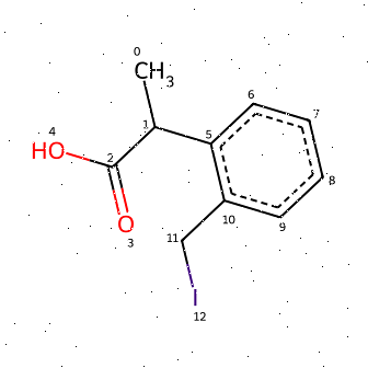 CC(C(=O)O)c1ccccc1CI